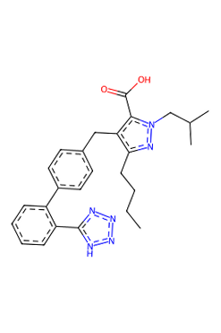 CCCCc1nn(CC(C)C)c(C(=O)O)c1Cc1ccc(-c2ccccc2-c2nnn[nH]2)cc1